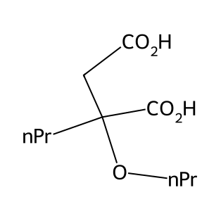 CCCOC(CCC)(CC(=O)O)C(=O)O